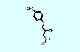 CC(C)(C)NCC(O)COc1ccc(C=O)cc1